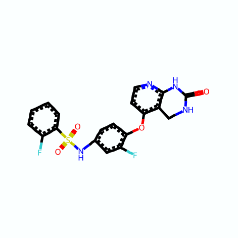 O=C1NCc2c(Oc3ccc(NS(=O)(=O)c4ccccc4F)cc3F)ccnc2N1